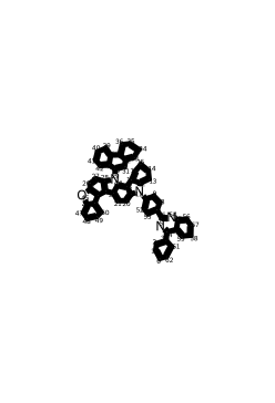 c1ccc(-c2nc(-c3ccc(-n4c5ccccc5c5c4ccc4c6c7c(ccc6n(-c6cc8ccccc8c8ccccc68)c45)oc4ccccc47)cc3)nc3ccccc23)cc1